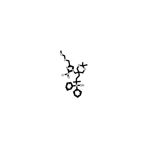 COCOCc1cn(CC2(CCC(C)(C)[Si](O)(c3ccccc3)c3ccccc3)COC(C)(C)OC2)c([N+](=O)[O-])n1